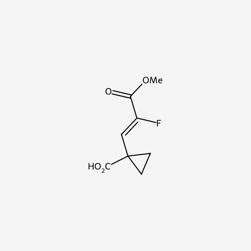 COC(=O)C(F)=CC1(C(=O)O)CC1